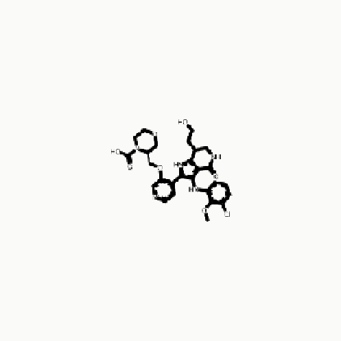 COc1c(Cl)cccc1Nc1c(-c2ccncc2OC[C@@H]2COCCN2C(=O)O)[nH]c2c1C(=O)NCC2CCO